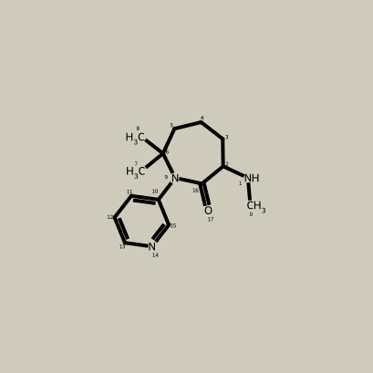 CNC1CCCC(C)(C)N(c2cccnc2)C1=O